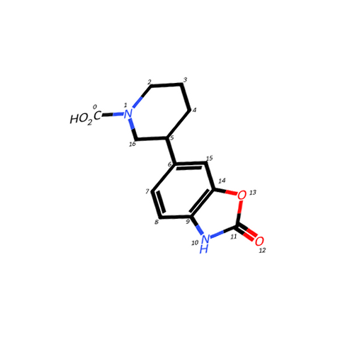 O=C(O)N1CCCC(c2ccc3[nH]c(=O)oc3c2)C1